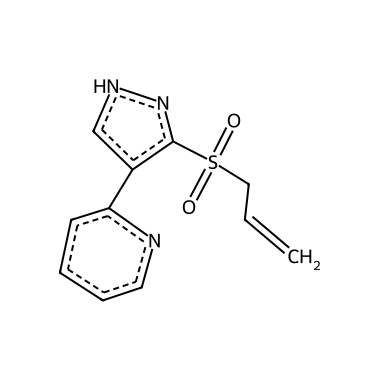 C=CCS(=O)(=O)c1n[nH]cc1-c1ccccn1